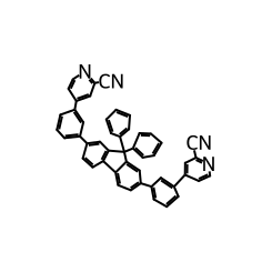 N#Cc1cc(-c2cccc(-c3ccc4c(c3)C(c3ccccc3)(c3ccccc3)c3cc(-c5cccc(-c6ccnc(C#N)c6)c5)ccc3-4)c2)ccn1